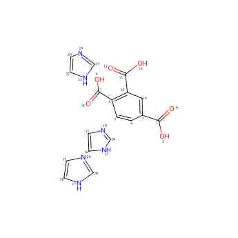 O=C(O)c1ccc(C(=O)O)c(C(=O)O)c1.c1c[nH]cn1.c1c[nH]cn1.c1c[nH]cn1